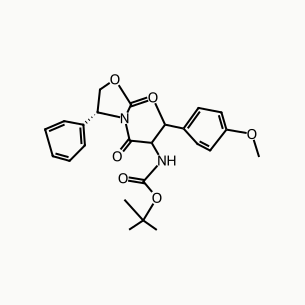 COc1ccc(C(C)C(NC(=O)OC(C)(C)C)C(=O)N2C(=O)OC[C@H]2c2ccccc2)cc1